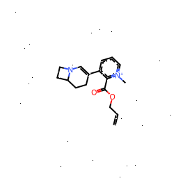 C=CCOC(=O)c1c(C2=CN3CCC3CC2)ccc[n+]1C